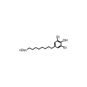 CCCCCCCCCCCCCCCCCCc1cc(CC)c(O)c(CC)c1